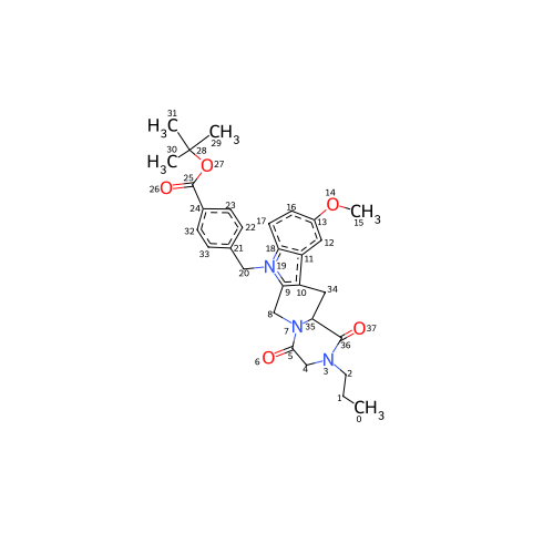 CCCN1CC(=O)N2Cc3c(c4cc(OC)ccc4n3Cc3ccc(C(=O)OC(C)(C)C)cc3)CC2C1=O